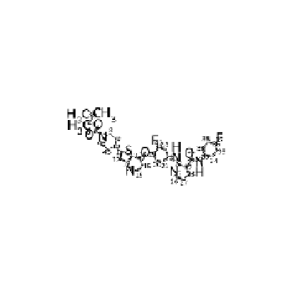 CC(C)(C)OC(=O)N1CCC(c2cc3nccc(Oc4ccc(Nc5ncccc5C(=O)Nc5ccc(F)cc5)cc4F)c3s2)CC1